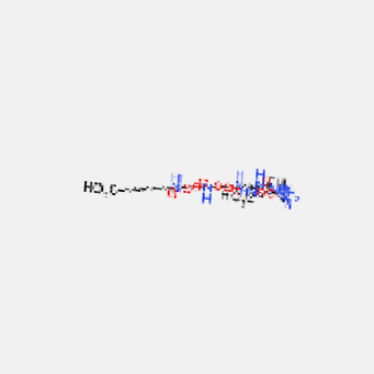 CC(C)(NC(=O)[C@@H](N)Cc1cnc[nH]1)C(=O)CN[C@@H](CCCCNC(=O)COCCOCCNC(=O)COCCOCCNC(=O)CCCCCCCCCCCCCCCCC(=O)O)C(=O)NCC(=O)O